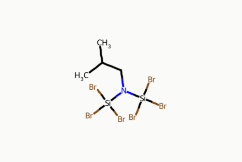 CC(C)CN([Si](Br)(Br)Br)[Si](Br)(Br)Br